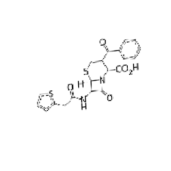 O=C(Cc1cccs1)NC1C(=O)N2C(C(=O)O)C(C(=O)c3ccccc3)=CS[C@H]12